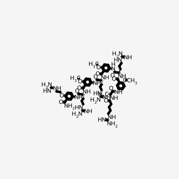 COc1ccc(NC(=O)[C@@H](C)NC(=O)CCCCNC(=N)N)cc1C(=O)N[C@H](CCCNC(=N)N)C(=O)Nc1ccc(OC)c(C(=O)N[C@H](CCCNC(=N)N)C(=O)Nc2ccc(OC)c(C(=O)N[C@H](CCCNC(=N)N)C(=O)Nc3ccc(OCCNC(=N)N)c(C(N)=O)c3)c2)c1